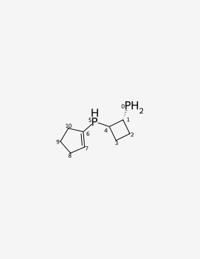 P[C@@H]1CCC1PC1=CCCC1